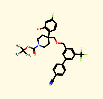 CC(C)(C)OC(=O)N1CCC(COCc2cc(-c3ccc(C#N)cc3)cc(C(F)(F)F)c2)(c2ccc(F)cc2Br)CC1